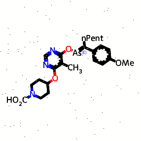 CCCCC/C(=[As]\Oc1ncnc(OC2CCN(C(=O)O)CC2)c1C)c1ccc(OC)cc1